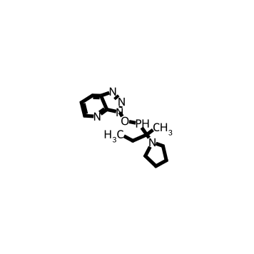 CCC(C)(POn1nnc2cccnc21)N1CCCC1